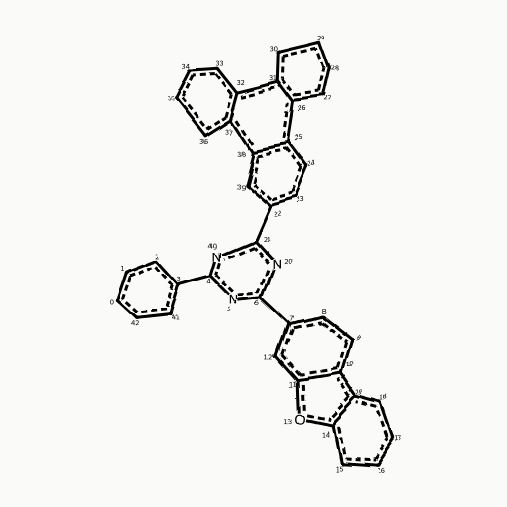 c1ccc(-c2nc(-c3ccc4c(c3)oc3ccccc34)nc(-c3ccc4c5ccccc5c5ccccc5c4c3)n2)cc1